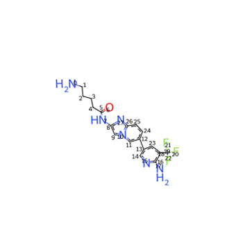 NCCCCC(=O)Nc1cn2cc(-c3cnc(N)c(C(F)(F)F)c3)ccc2n1